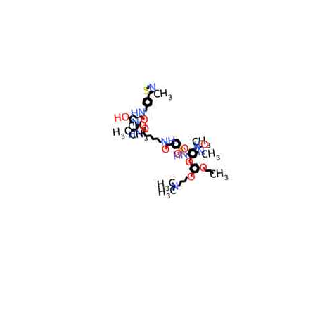 CCCOc1cc(OCCCCN(C)C)cc(Oc2cc3c(cc2NS(=O)(=O)c2cccc(C(=O)NCCCCCC(=O)N[C@H](C(=O)N4C[C@H](O)C[C@H]4C(=O)NCc4ccc(-c5scnc5C)cc4)C(C)(C)C)c2)n(C)c(=O)n3C)c1